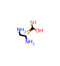 NCCN.OC(=S)S